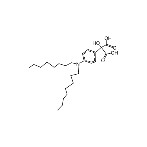 CCCCCCCCN(CCCCCCCC)c1ccc(C(O)(C(=O)O)C(=O)O)cc1